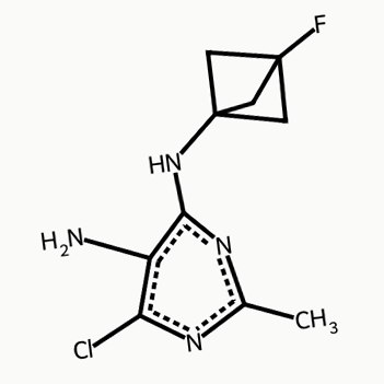 Cc1nc(Cl)c(N)c(NC23CC(F)(C2)C3)n1